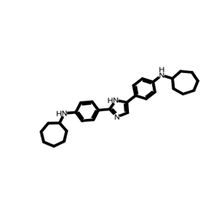 c1cc(-c2cnc(-c3ccc(NC4CCCCCC4)cc3)[nH]2)ccc1NC1CCCCCC1